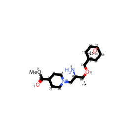 COC(=O)C1CCN(C[C@@H](N)[C@@H](C)OCC23CCC(CC2)OC3)CC1